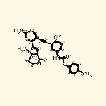 Cc1ccc(NC(=O)Nc2cccc(C#Cc3cnc(N)nc3-c3cc4c(n3C)CCNC4=O)c2)cc1.Cl